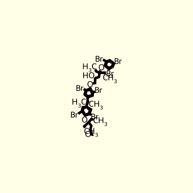 CCC(CC)(CC(O)COc1c(Br)cc(C(C)(C)c2cc(Br)c(OC(CC)(CC)CC3CO3)c(Br)c2)cc1Br)Oc1c(Br)cc(Br)cc1Br